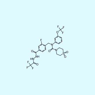 O=C(NNC(=O)C(F)(F)F)c1ccc(CN(C(=O)N2CCS(=O)(=O)CC2)c2cccc(OC(F)(F)F)c2)c(F)c1